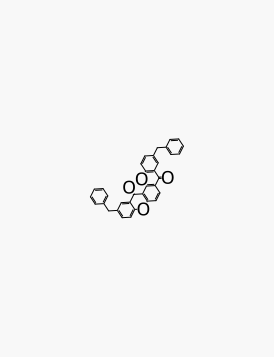 O=c1c2cc(Cc3ccccc3)ccc2oc2c1ccc1oc3ccc(Cc4ccccc4)cc3c(=O)c12